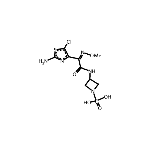 CON=C(C(=O)NC1CN(P(=O)(O)O)C1)c1nc(N)sc1Cl